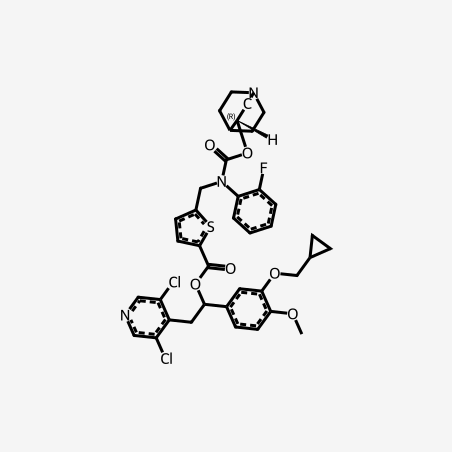 COc1ccc(C(Cc2c(Cl)cncc2Cl)OC(=O)c2ccc(CN(C(=O)O[C@H]3CN4CCC3CC4)c3ccccc3F)s2)cc1OCC1CC1